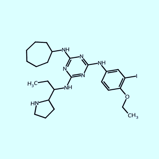 CCOc1ccc(Nc2nc(NC3CCCCCC3)nc(NC(CC)C3CCCN3)n2)cc1I